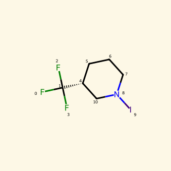 FC(F)(F)[C@@H]1CCCN(I)C1